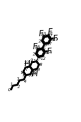 CCCCCC1CC[C@@H]2C[C@H](c3cc(F)c(-c4cc(F)c(F)c(F)c4)c(F)c3)CC[C@@H]2C1